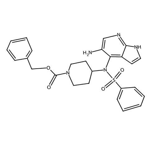 Nc1cnc2[nH]ccc2c1N(C1CCN(C(=O)OCc2ccccc2)CC1)S(=O)(=O)c1ccccc1